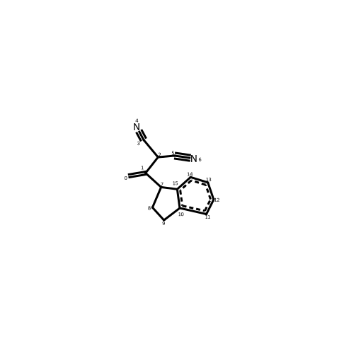 C=C(C(C#N)C#N)C1CCc2ccccc21